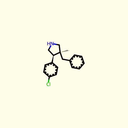 [CH2][C@@]1(Cc2ccccc2)CNC[C@@H]1c1ccc(Cl)cc1